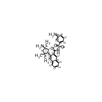 CC1(C)C[C@@](C)(N)CN1c1nc2ccccc2cc1C(=O)NS(=O)(=O)c1cccc(N)n1